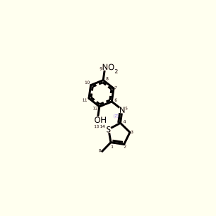 CC1=CC/C(=N/c2cc([N+](=O)[O-])ccc2O)S1